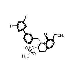 CCc1ccc2n(c1=O)[C@@H](Cc1cccc(-c3cc(F)cc(F)c3)c1)[C@@H](NS(C)(=O)=O)CC2